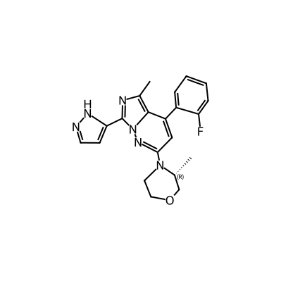 Cc1nc(-c2ccn[nH]2)n2nc(N3CCOC[C@H]3C)cc(-c3ccccc3F)c12